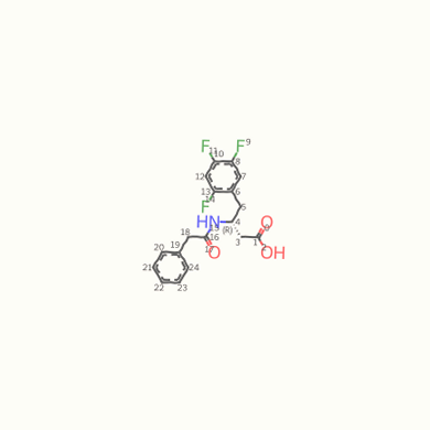 O=C(O)C[C@@H](Cc1cc(F)c(F)cc1F)NC(=O)Cc1ccccc1